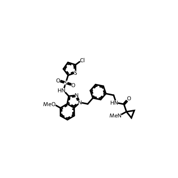 CNC1(C(=O)NCc2cccc(Cn3nc(NS(=O)(=O)c4ccc(Cl)s4)c4c(OC)cccc43)c2)CC1